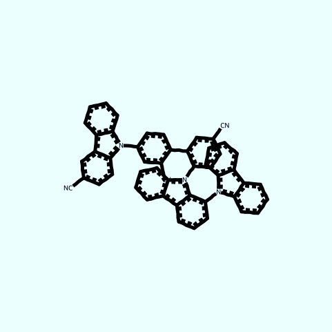 N#Cc1ccc(-n2c3ccccc3c3cccc(-n4c5ccccc5c5ccccc54)c32)c(-c2ccc(-n3c4ccccc4c4cc(C#N)ccc43)cc2C#N)c1